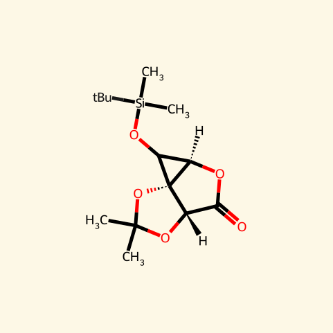 CC1(C)O[C@H]2C(=O)O[C@@H]3C(O[Si](C)(C)C(C)(C)C)[C@@]32O1